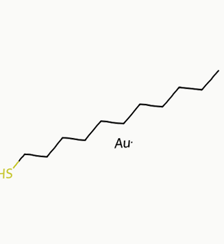 CCCCCCCCCCCS.[Au]